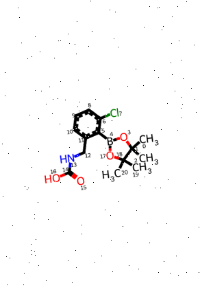 CC1(C)OB(c2c(Cl)cccc2CNC(=O)O)OC1(C)C